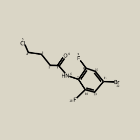 O=C(CCCCl)Nc1c(F)cc(Br)cc1F